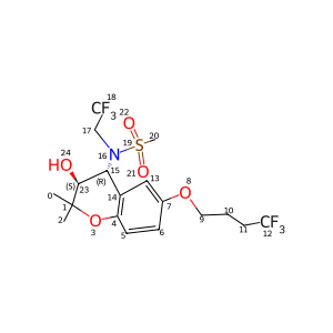 CC1(C)Oc2ccc(OCCCC(F)(F)F)cc2[C@@H](N(CC(F)(F)F)S(C)(=O)=O)[C@@H]1O